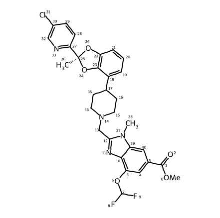 COC(=O)c1cc(OC(F)F)c2nc(CN3CCC(c4cccc5c4O[C@@](C)(c4ccc(Cl)cn4)O5)CC3)n(C)c2c1